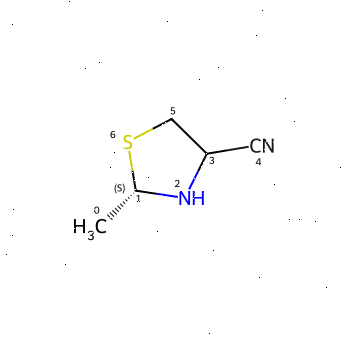 C[C@H]1NC(C#N)CS1